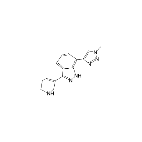 Cn1cc(-c2cccc3c(C4=CCCNC4)n[nH]c23)nn1